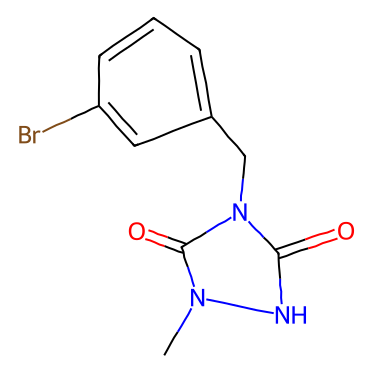 Cn1[nH]c(=O)n(Cc2cccc(Br)c2)c1=O